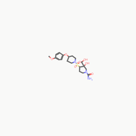 COc1ccc(OC2CCN(S(=O)(=O)C3CCN(C(N)=O)CC3(O)C(=O)O)CC2)cc1